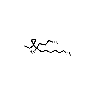 CCCCCCCC(C)(CCCC)C1(CF)CC1